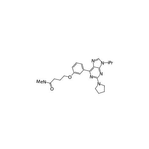 CNC(=O)CCCOc1cccc(-c2nc(N3CCCC3)nc3c2ncn3C(C)C)c1